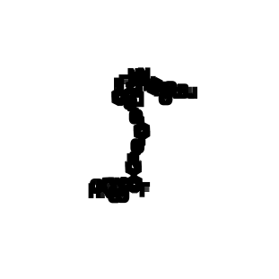 CC(C)(C)OC(=O)N1CCN(c2ncnc3c(F)c(-c4c(F)cccc4OCCOCc4ccc(COCCN5CCC(c6cc(F)cc7c6CN(C6CCC(=O)NC6=O)C7=O)CC5)cc4)c(Cl)cc23)CC1